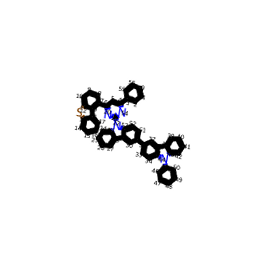 c1ccc(-c2cc(-c3cccc4sc5ccccc5c34)nc(-n3c4ccccc4c4cc(-c5ccc6c(c5)c5ccccc5n6-c5ccccc5)ccc43)n2)cc1